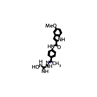 COc1ccc2[nH]c(C(=O)Nc3ccc(/C(C)=N/NC(=N)NO)cc3)cc2c1